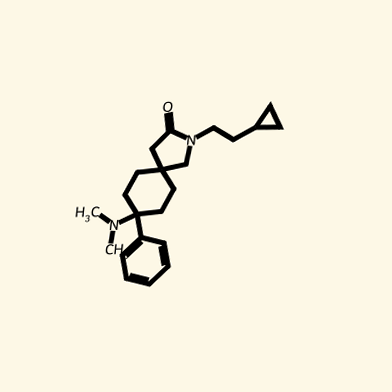 CN(C)C1(c2ccccc2)CCC2(CC1)CC(=O)N(CCC1CC1)C2